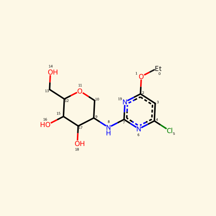 CCOc1cc(Cl)nc(NC2COC(CO)C(O)C2O)n1